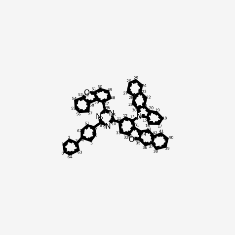 c1ccc(-c2ccc(-c3nc(-c4cc(-n5c6ccccc6c6cc7ccccc7cc65)c5c(c4)oc4cc6ccccc6cc45)nc(-c4cccc5oc6ccccc6c45)n3)cc2)cc1